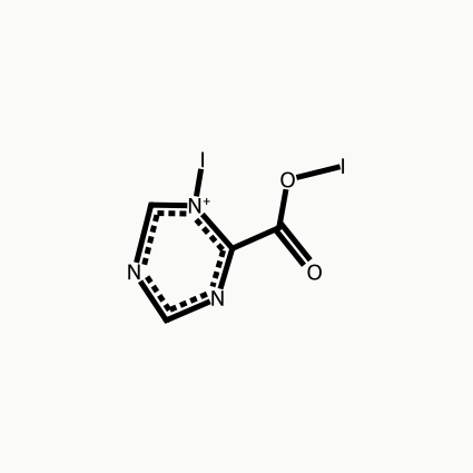 O=C(OI)c1ncnc[n+]1I